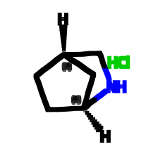 C1C[C@H]2C[C@@H]1CN2.Cl